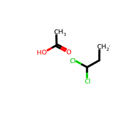 CC(=O)O.[CH2]CC(Cl)Cl